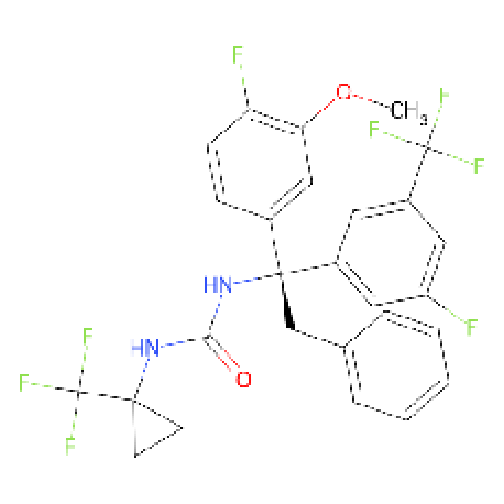 COc1cc([C@@](Cc2ccccc2)(NC(=O)NC2(C(F)(F)F)CC2)c2cc(F)cc(C(F)(F)F)c2)ccc1F